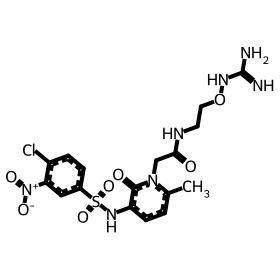 Cc1ccc(NS(=O)(=O)c2ccc(Cl)c([N+](=O)[O-])c2)c(=O)n1CC(=O)NCCONC(=N)N